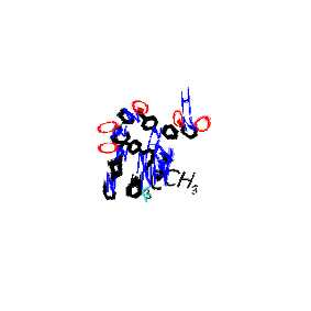 CC(C)n1cnc2cc(-c3ccc4c(c3)N(C3CC(N5CCCCC5)C3)C(=O)C43CCN(C(=O)[C@@H]4CCN(C(=O)C5CCC(Nc6ccc([C@H]7CCC(=O)NC7=O)cc6)CC5)C4)CC3)nc(Nc3ccccc3F)c21